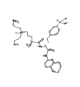 C[N+](CCN)(CCN)CCC[C@H](N)C(=O)N[C@H](CCc1ccc(C(F)(F)F)cc1)C(=O)Nc1ccc2ncccc2c1